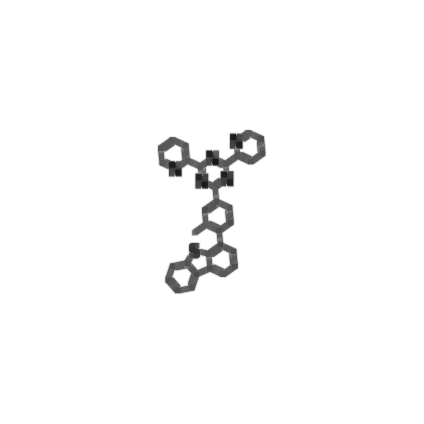 Cc1cc(-c2nc(-c3ccccn3)nc(-c3ccccn3)n2)ccc1-c1cccc2c1sc1ccccc12